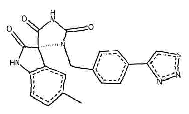 Cc1ccc2c(c1)[C@]1(C(=O)NC(=O)N1Cc1ccc(-c3csnn3)cc1)C(=O)N2